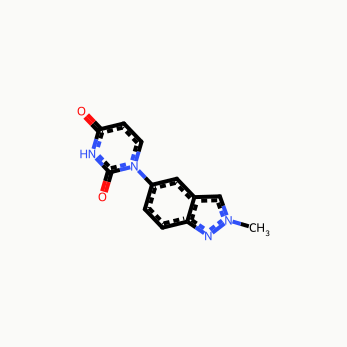 Cn1cc2cc(-n3ccc(=O)[nH]c3=O)ccc2n1